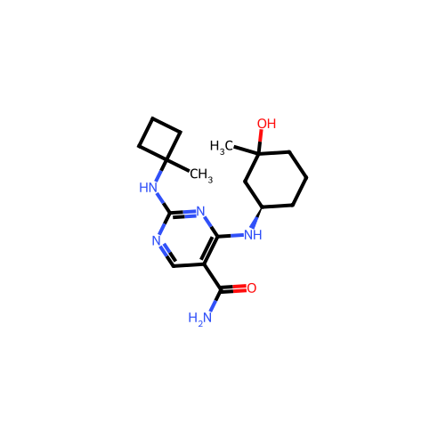 CC1(O)CCC[C@@H](Nc2nc(NC3(C)CCC3)ncc2C(N)=O)C1